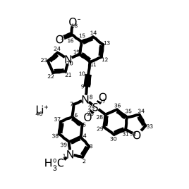 Cn1ccc2cc(CN(C#Cc3cccc(C(=O)[O-])c3-n3cccc3)S(=O)(=O)c3ccc4occc4c3)ccc21.[Li+]